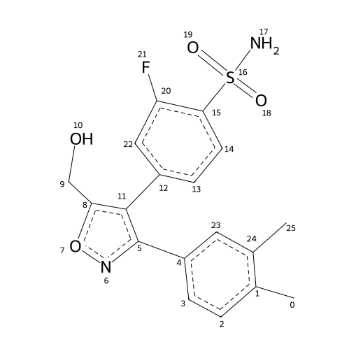 Cc1ccc(-c2noc(CO)c2-c2ccc(S(N)(=O)=O)c(F)c2)cc1C